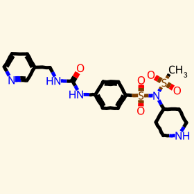 CS(=O)(=O)N(C1CCNCC1)S(=O)(=O)c1ccc(NC(=O)NCc2cccnc2)cc1